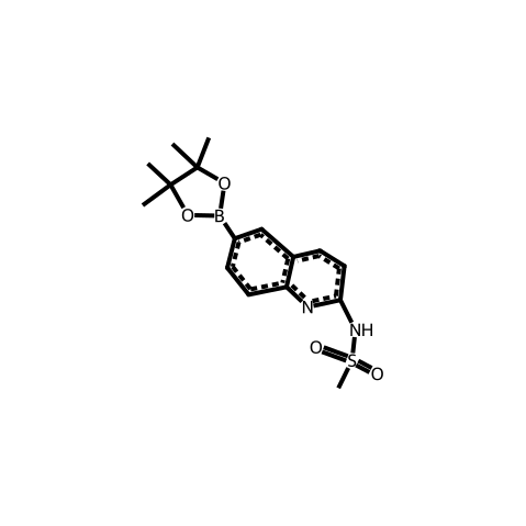 CC1(C)OB(c2ccc3nc(NS(C)(=O)=O)ccc3c2)OC1(C)C